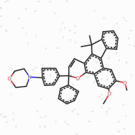 COc1cc2c3c(c4c(c2cc1OC)-c1ccccc1C4(C)C)C=CC(c1ccccc1)(c1ccc(N2CCOCC2)cc1)O3